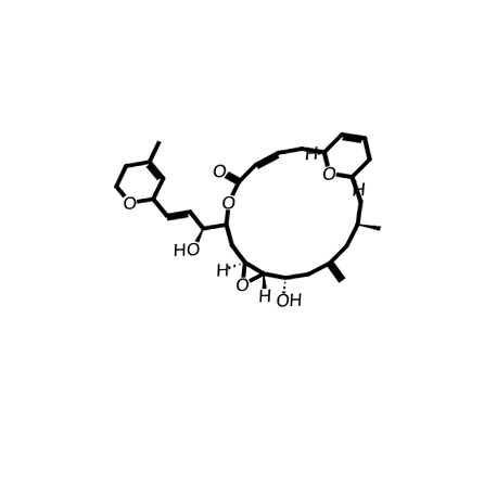 C=C1C[C@H](C)C[C@@H]2CC=C[C@@H](C/C=C\C(=O)OC([C@@H](O)/C=C/C3C=C(C)CCO3)C[C@@H]3O[C@H]3[C@@H](O)C1)O2